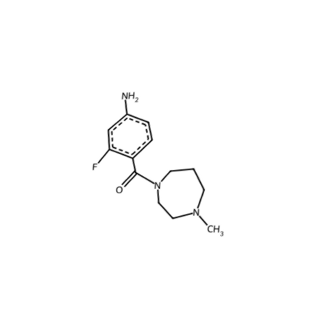 CN1CCCN(C(=O)c2ccc(N)cc2F)CC1